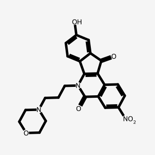 O=C1c2cc(O)ccc2-c2c1c1ccc([N+](=O)[O-])cc1c(=O)n2CCCN1CCOCC1